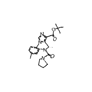 Cc1ccc2c(c1)N(C(=O)N1CCCC1)[C@@H](C)c1c(C(=O)OC(C)(C)C)ncn1-2